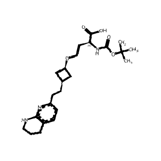 CC(C)(C)OC(=O)N[C@@H](CCO[C@H]1C[C@@H](CCc2ccc3c(n2)NCCC3)C1)C(=O)O